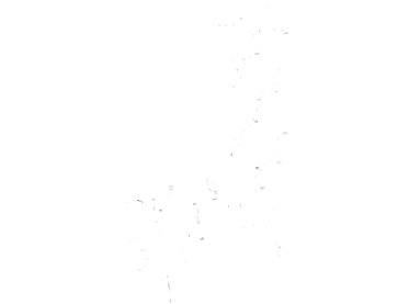 CCOC(=O)C1(c2ccc(-c3ccc(-c4sc(F)cc4NC(=O)O[C@H](C)c4ccc(F)cc4)cc3)cc2)CC1